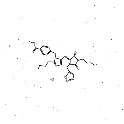 CCCCc1ncc(C=C2C(=O)N(CCCC)C(=O)N2Cc2nnn[nH]2)n1Cc1ccc(C(=O)OC)cc1.Cl